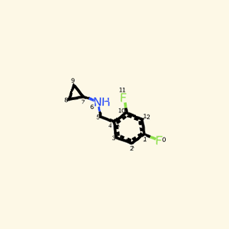 Fc1ccc(CNC2CC2)c(F)c1